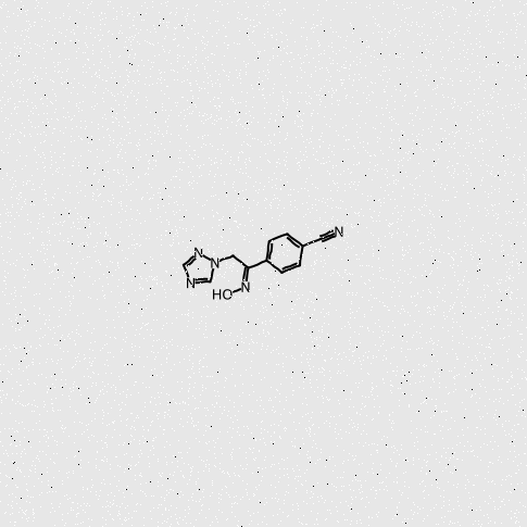 N#Cc1ccc(C(Cn2cncn2)=NO)cc1